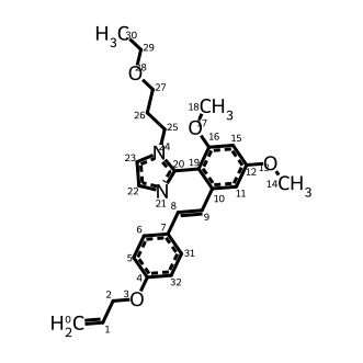 C=CCOc1ccc(C=Cc2cc(OC)cc(OC)c2-c2nccn2CCCOCC)cc1